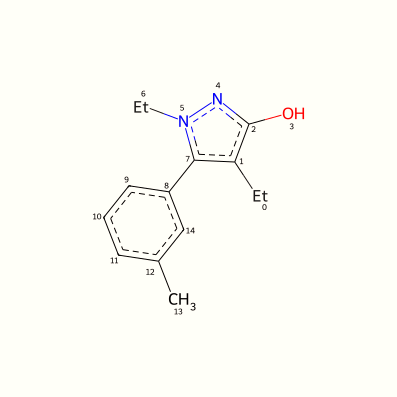 CCc1c(O)nn(CC)c1-c1cccc(C)c1